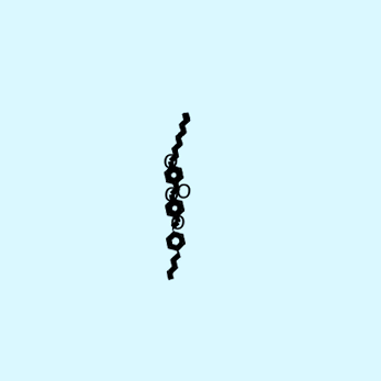 C=CCCCCCCOc1ccc(C(=O)Oc2ccc(OC[C@H]3CC[C@H](CCCCC)CC3)cc2)cc1